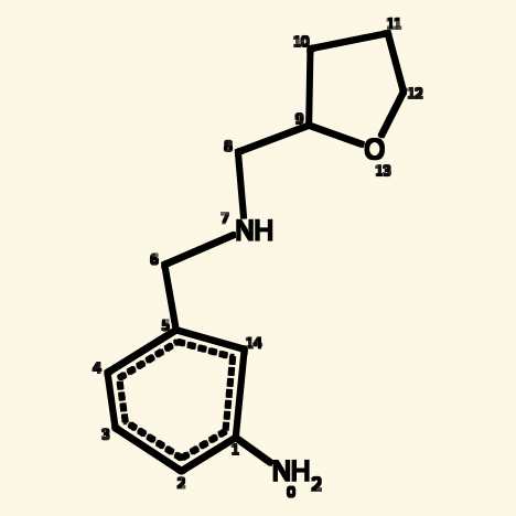 Nc1cccc(CNCC2CCCO2)c1